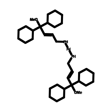 COC(C=CC[PH][Pd][PH]CC=CC(OC)(C1CCCCC1)C1CCCCC1)(C1CCCCC1)C1CCCCC1